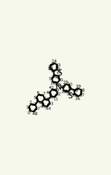 c1ccc(-c2cccc3c(-c4ccc(N(c5ccc6c(c5)sc5ccccc56)c5ccc6c(c5)sc5ccccc56)cc4)cccc23)cc1